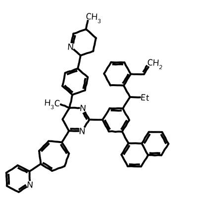 C=CC1=C(C(CC)c2cc(C3=NC(C)(c4ccc(C5CCC(C)C=N5)cc4)CC(C4=CCC=C(c5ccccn5)C=C4)=N3)cc(-c3cccc4ccccc34)c2)CCC=C1